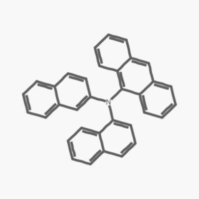 c1ccc2cc(N(c3cccc4ccccc34)c3c4ccccc4cc4ccccc34)ccc2c1